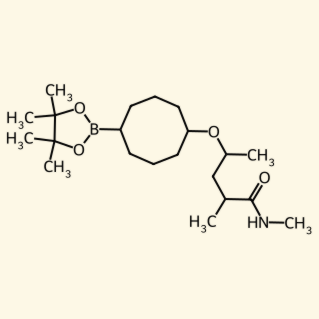 CNC(=O)C(C)CC(C)OC1CCCC(B2OC(C)(C)C(C)(C)O2)CCC1